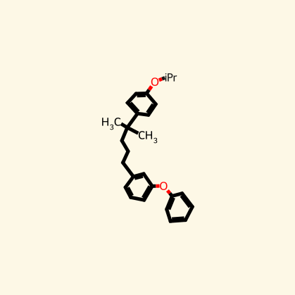 CC(C)Oc1ccc(C(C)(C)CCCc2cccc(Oc3ccccc3)c2)cc1